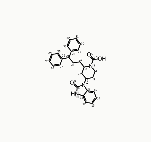 O=C(O)N1CCC(n2c(=O)[nH]c3ccccc32)CC1CCC(c1ccccc1)c1ccccc1